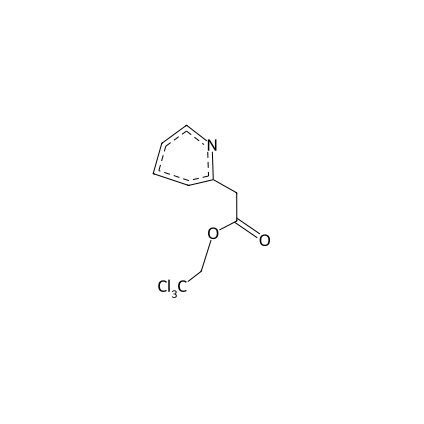 O=C(Cc1ccccn1)OCC(Cl)(Cl)Cl